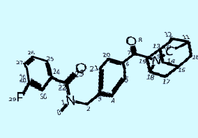 CN(Cc1ccc(C(=O)N2CC3CC4CC(C3)CC2C4)cc1)C(=O)c1cccc(F)c1